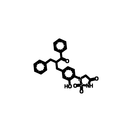 O=C1CN(c2ccc(CC(Cc3ccccc3)C(=O)c3ccccc3)cc2O)S(=O)(=O)N1